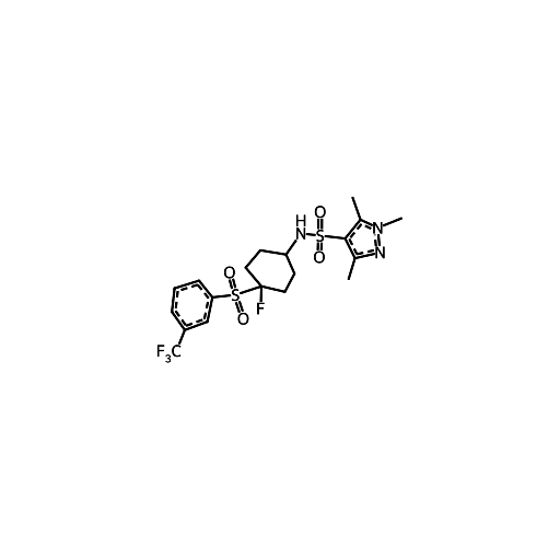 Cc1nn(C)c(C)c1S(=O)(=O)NC1CCC(F)(S(=O)(=O)c2cccc(C(F)(F)F)c2)CC1